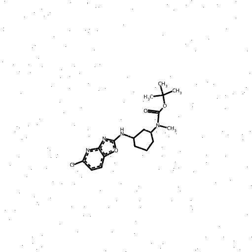 CN(C(=O)OC(C)(C)C)C1CCCC(Nc2nc3nc(Cl)ccc3o2)C1